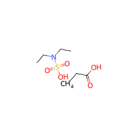 C.CCC(=O)O.CCN(CC)S(=O)(=O)O